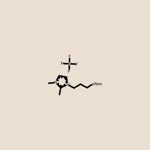 CCCCCCCCCCCC[n+]1ccn(C)c1C.F[B-](F)(F)F